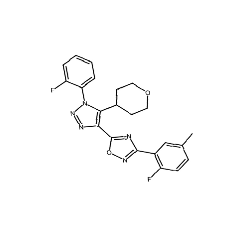 Cc1ccc(F)c(-c2noc(-c3nnn(-c4ccccc4F)c3C3CCOCC3)n2)c1